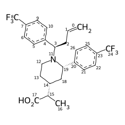 C=CC[C@H](c1ccc(C(F)(F)F)cc1)N1CC[C@@H](C(C)C(=O)O)C[C@H]1c1ccc(C(F)(F)F)cc1